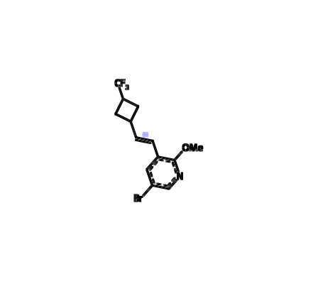 COc1ncc(Br)cc1/C=C/C1CC(C(F)(F)F)C1